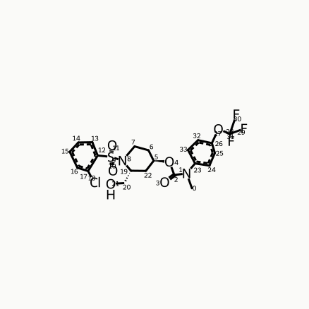 CN(C(=O)O[C@@H]1CCN(S(=O)(=O)c2ccccc2Cl)[C@@H](CO)C1)c1ccc(OC(F)(F)F)cc1